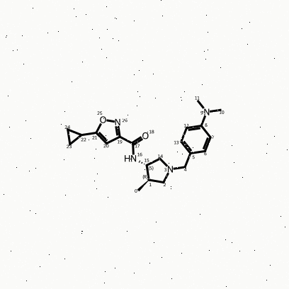 C[C@@H]1CN(Cc2ccc(N(C)C)cc2)C[C@H]1NC(=O)c1cc(C2CC2)on1